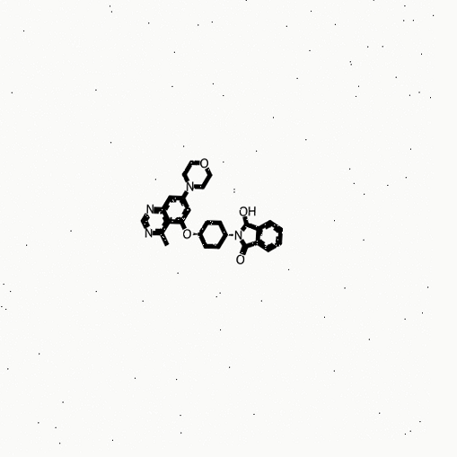 Cc1ncnc2cc(N3CCOCC3)cc(O[C@H]3CC[C@@H](N4C(=O)c5ccccc5C4O)CC3)c12